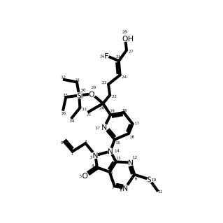 C=CCn1c(=O)c2cnc(SC)nc2n1-c1cccc(C(C)(CC/C=C(\F)CO)O[Si](CC)(CC)CC)n1